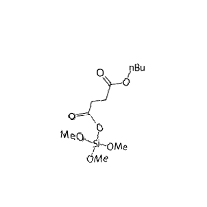 CCCCOC(=O)CCC(=O)O[Si](OC)(OC)OC